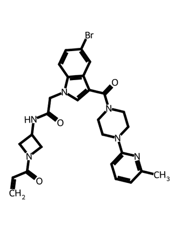 C=CC(=O)N1CC(NC(=O)Cn2cc(C(=O)N3CCN(c4cccc(C)n4)CC3)c3cc(Br)ccc32)C1